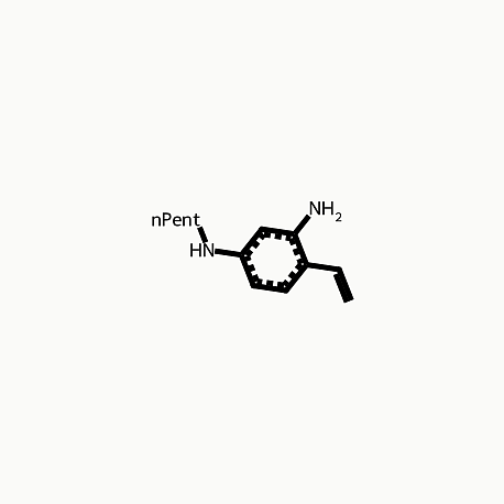 C=Cc1ccc(NCCCCC)cc1N